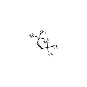 CC(C)(C)/C=C\[Si](C)(C)C